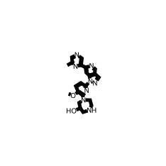 COc1ccc(-n2ncc3cnc(-c4cncc(C)n4)cc32)nc1N1CCNCC(O)C1